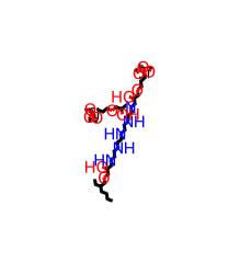 CCCCC(CC)COCC(O)CNCCNCCNCCNCCN(CC(O)COCCC[Si](OC)(OC)OC)CC(O)COCCC[Si](OC)(OC)OC